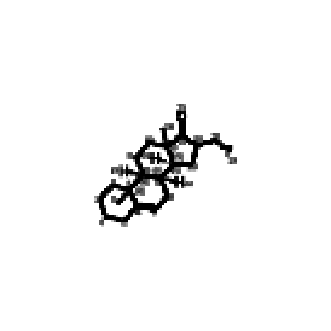 C[C@]12CCCCC1=CC[C@@H]1[C@H]2CC[C@]2(C)C(=O)C(CF)C[C@@H]12